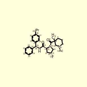 CC(=O)N1CCCC(C)(C(=O)N2C[C@H](F)C[C@H]2C(=O)N[C@@H](c2ccccc2)c2ccc(C(C)C)cc2)C1